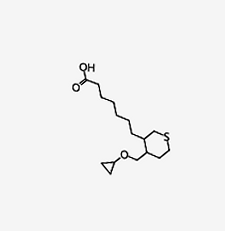 O=C(O)CCCCCCC1CSCCC1COC1CC1